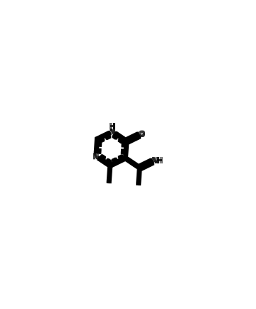 CC(=N)c1c(C)nc[nH]c1=O